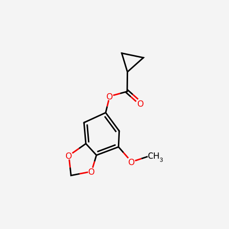 COc1cc(OC(=O)C2CC2)cc2c1OCO2